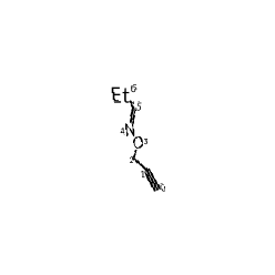 C#CCO/N=[C]/CC